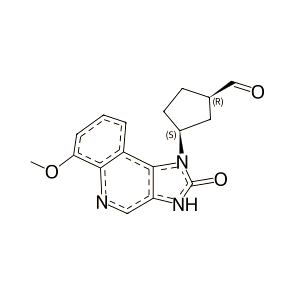 COc1cccc2c1ncc1[nH]c(=O)n([C@H]3CC[C@@H](C=O)C3)c12